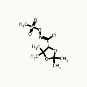 CC1(C)O[C@@H](/C(Cl)=N/OS(C)(=O)=O)C(C)(C)O1